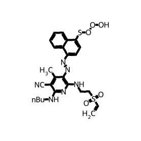 C=CS(=O)(=O)CCNc1nc(NCCCC)c(C#N)c(C)c1/N=N/c1ccc(SOOO)c2ccccc12